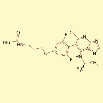 C[C@H](Nc1c(-c2c(F)cc(OCCCNC(=O)C(C)(C)C)cc2F)c(Cl)nc2ncnn12)C(F)(F)F